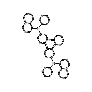 c1ccc(N(c2ccc3c4ccc(N(c5ccccc5)c5cccc6ccccc56)cc4c4ccccc4c3c2)c2cccc3ccccc23)cc1